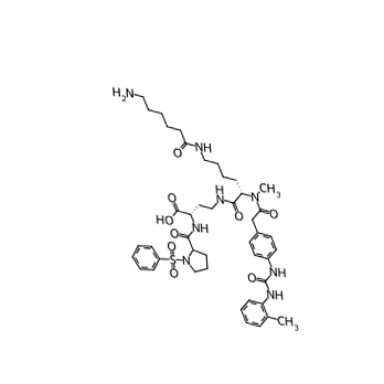 Cc1ccccc1NC(=O)Nc1ccc(CC(=O)N(C)[C@@H](CCCCNC(=O)CCCCCN)C(=O)NCC[C@H](NC(=O)C2CCCN2S(=O)(=O)c2ccccc2)C(=O)O)cc1